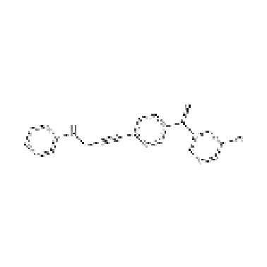 O=C(c1ccc(C#CCNc2ccccc2)cc1)c1cccc(Cl)c1